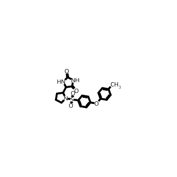 Cc1ccc(Oc2ccc(S(=O)(=O)N3CCCC3C3NC(=O)NC3=O)cc2)cc1